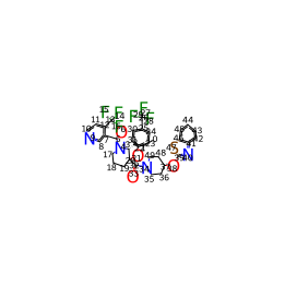 CCC[C@H]1N(C(=O)c2cnccc2C(F)(F)F)CCC[C@@]1(Oc1ccc(C(F)(F)F)cc1)C(=O)N1CCC(Oc2nc3ccccc3s2)CC1